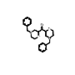 O=C(C1CN(Cc2ccccc2)CCO1)C1CN(Cc2ccccc2)CCO1